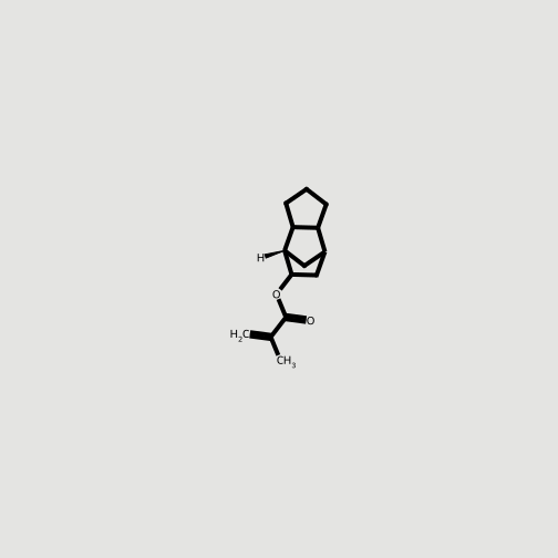 C=C(C)C(=O)OC1CC2C[C@H]1C1CCCC21